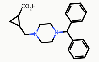 O=C(O)C1CC1CN1CCN(C(c2ccccc2)c2ccccc2)CC1